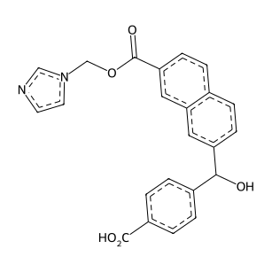 O=C(O)c1ccc(C(O)c2ccc3ccc(C(=O)OCn4ccnc4)cc3c2)cc1